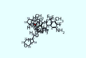 Cc1c(F)c(N)cc(-c2nc3c4c(nc(OCC5CC6COCCN65)nc4c2F)N2C[C@H]4CC[C@@H]([C@H]2[C@H](C)O3)N4C(=O)OC(C)(C)C)c1C(F)(F)F